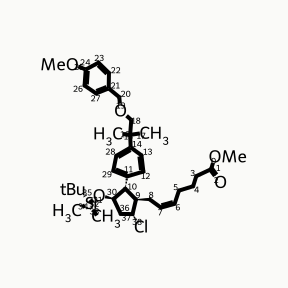 COC(=O)CCC/C=C\C[C@@H]1[C@@H](c2ccc(C(C)(C)COCc3ccc(OC)cc3)cc2)[C@H](O[Si](C)(C)C(C)(C)C)C[C@H]1Cl